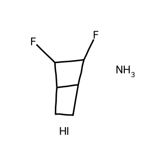 FC1C(F)C2CCC12.I.N